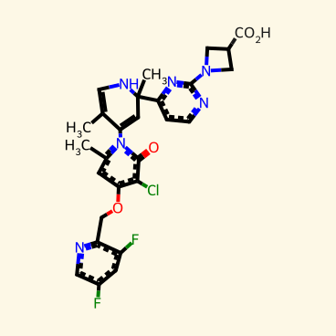 CC1=CNC(C)(c2ccnc(N3CC(C(=O)O)C3)n2)C=C1n1c(C)cc(OCc2ncc(F)cc2F)c(Cl)c1=O